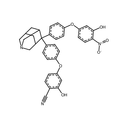 N#Cc1ccc(Oc2ccc(C3(c4ccc(Oc5ccc([N+](=O)[O-])c(O)c5)cc4)C4CC5CC3CN(C5)C4)cc2)cc1O